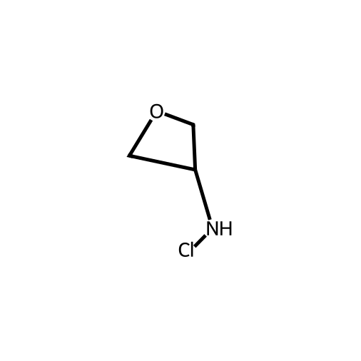 ClNC1COC1